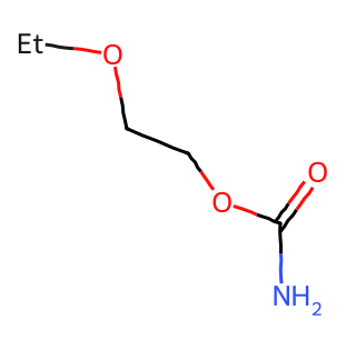 CCOCCOC(N)=O